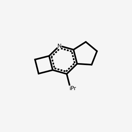 CC(C)c1c2c(nc3c1CC3)CCC2